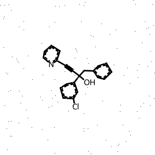 OC(C#Cc1ccccn1)(Cc1ccccc1)c1cccc(Cl)c1